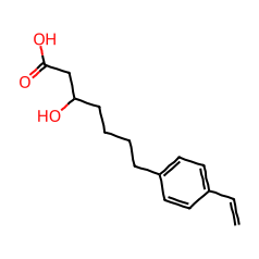 C=Cc1ccc(CCCCC(O)CC(=O)O)cc1